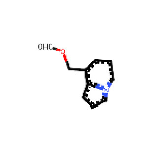 O=COCc1cccn2cccc12